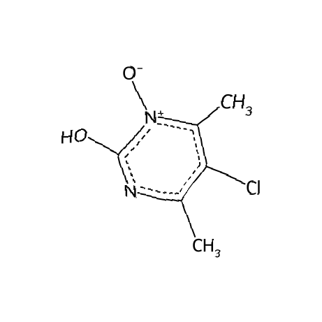 Cc1nc(O)[n+]([O-])c(C)c1Cl